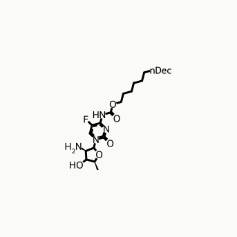 CCCCCCCCCCCCCCCCOC(=O)Nc1nc(=O)n(C2O[C@@H](C)C(O)[C@H]2N)cc1F